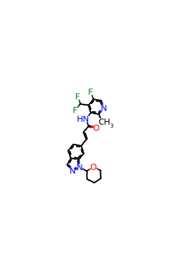 Cc1ncc(F)c(C(F)F)c1NC(=O)/C=C/c1ccc2cnn(C3CCCCO3)c2c1